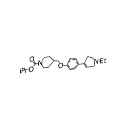 CCN1CC=C(c2ccc(OCC3CCN(C(=O)OC(C)C)CC3)cc2)CC1